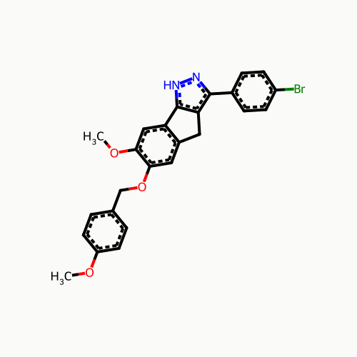 COc1ccc(COc2cc3c(cc2OC)-c2[nH]nc(-c4ccc(Br)cc4)c2C3)cc1